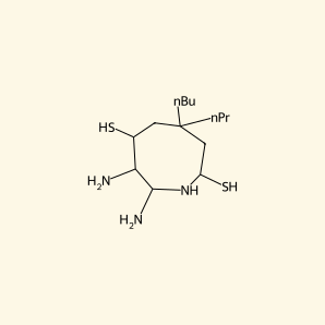 CCCCC1(CCC)CC(S)NC(N)C(N)C(S)C1